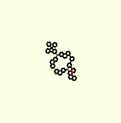 c1ccc(-c2cc(-c3cccc(-c4cccc5c4ccc4cc(N(c6ccc7c(c6)-c6ccccc6C7(c6ccccc6)c6ccccc6)c6ccc7c(ccc8ccccc87)c6)ccc45)c3)ccc2N(c2ccc3c(ccc4ccccc43)c2)c2ccc3c(ccc4ccccc43)c2)cc1